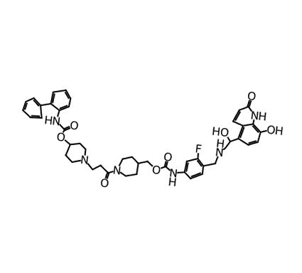 O=C(Nc1ccc(CNCC(O)c2ccc(O)c3[nH]c(=O)ccc23)c(F)c1)OCC1CCN(C(=O)CCN2CCC(OC(=O)Nc3ccccc3-c3ccccc3)CC2)CC1